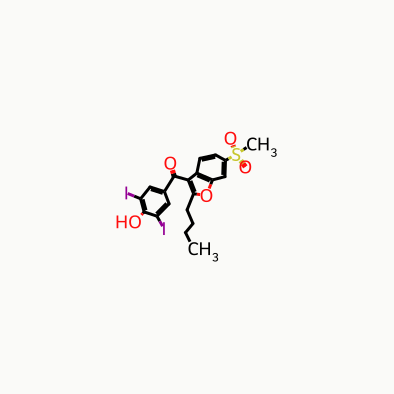 CCCCc1oc2cc(S(C)(=O)=O)ccc2c1C(=O)c1cc(I)c(O)c(I)c1